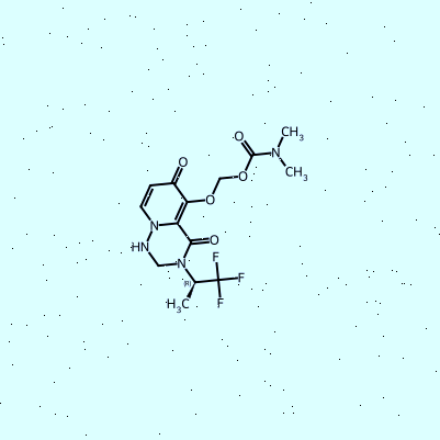 C[C@@H](N1CNn2ccc(=O)c(OCOC(=O)N(C)C)c2C1=O)C(F)(F)F